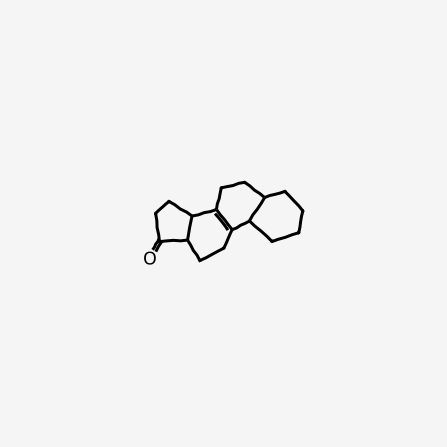 O=C1CCC2C3=C(CCC12)C1CCCCC1CC3